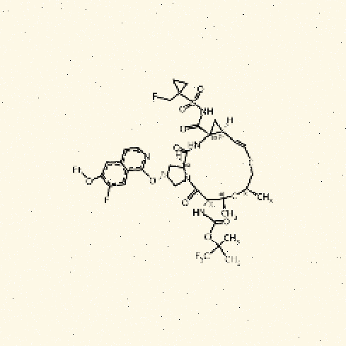 CCOc1cc2ccnc(O[C@@H]3C[C@H]4C(=O)N[C@]5(C(=O)NS(=O)(=O)C6(CF)CC6)C[C@H]5C=CCC[C@@H](C)C[C@@H](C)[C@H](NC(=O)OC(C)(C)C(F)(F)F)C(=O)N4C3)c2cc1F